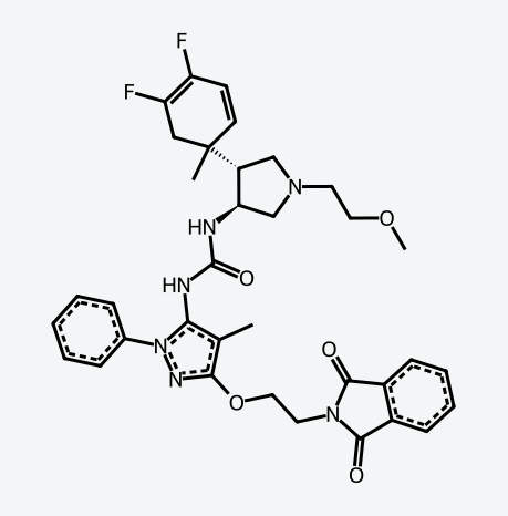 COCCN1C[C@@H](C2(C)C=CC(F)=C(F)C2)[C@H](NC(=O)Nc2c(C)c(OCCN3C(=O)c4ccccc4C3=O)nn2-c2ccccc2)C1